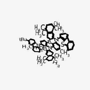 Cc1cc2c3c(c1)N(c1cccc4c1sc1ccccc14)c1cc4c(cc1B3c1ccc(N3c5ccc(C(C)(C)C)cc5C5(C)CCCCC35C)cc1N2c1cc2c(cc1C)C(C)(C)CCC2(C)C)C(C)(C)CCC4(C)C